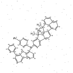 CC(C)c1ccc(N(c2ccc3c(c2)C(C)(C)c2c-3ccc3c2C(C)(C)c2cccc4cccc-3c24)c2cccc3c2oc2c(-c4ccccc4)cccc23)cc1